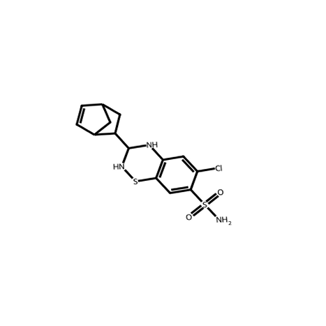 NS(=O)(=O)c1cc2c(cc1Cl)NC(C1CC3C=CC1C3)NS2